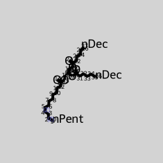 CCCCC/C=C\C/C=C\CCCCCCCC(=O)OC[C@@H](COC(=O)CCCCCCCCCCCCCCC)OC(=O)CCCCCCCCCCCCCCC